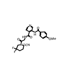 COc1ccc(C(=O)Nc2cnccc2C(=O)NCC(=O)N2CC(F)(F)CC[C@H]2C#N)cc1